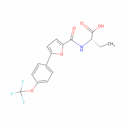 CC[C@H](NC(=O)c1ccc(-c2ccc(OC(F)(F)F)cc2)o1)C(=O)O